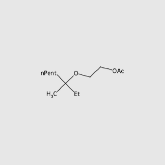 CCCCCC(C)(CC)OCCOC(C)=O